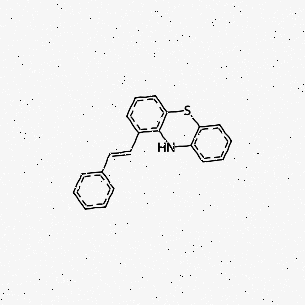 C(=C\c1cccc2c1Nc1ccccc1S2)/c1ccccc1